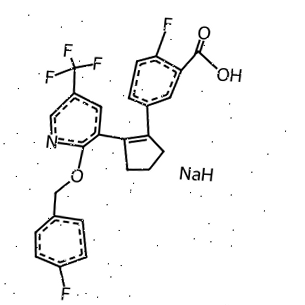 O=C(O)c1cc(C2=C(c3cc(C(F)(F)F)cnc3OCc3ccc(F)cc3)CCC2)ccc1F.[NaH]